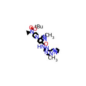 Cc1cn2cc(NC(=O)c3ccc(N4CCC(N(C(=O)OC(C)(C)C)C5CC5)CC4)c4cn(C)nc34)nc2c(Cn2cccn2)n1